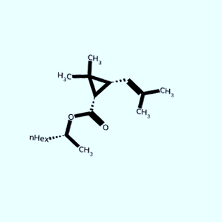 CCCCCC[C@@H](C)OC(=O)[C@H]1[C@@H](C=C(C)C)C1(C)C